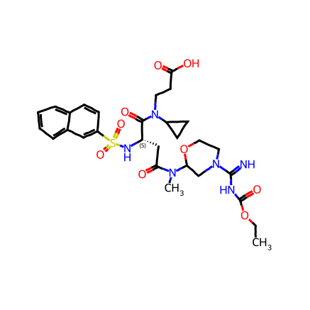 CCOC(=O)NC(=N)N1CCOC(N(C)C(=O)C[C@H](NS(=O)(=O)c2ccc3ccccc3c2)C(=O)N(CCC(=O)O)C2CC2)C1